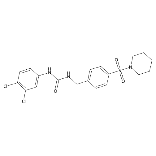 O=C(NCc1ccc(S(=O)(=O)N2CCCCC2)cc1)Nc1ccc(Cl)c(Cl)c1